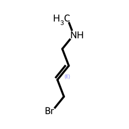 CNC/C=C/CBr